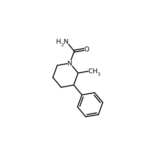 CC1C(c2ccccc2)CCCN1C(N)=O